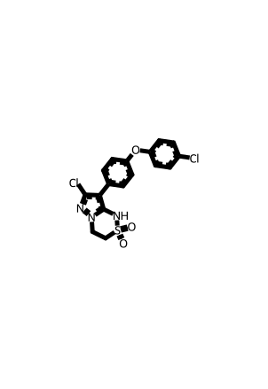 O=S1(=O)CCn2nc(Cl)c(-c3ccc(Oc4ccc(Cl)cc4)cc3)c2N1